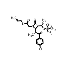 C=CCOC(=O)CN1C(=O)[C@H]([C@@H](C)O[Si](C)(C)C)[C@H]1[C@@H](C)C(=S)c1ccc(Cl)cc1